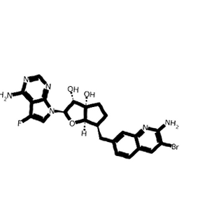 Nc1nc2cc(C[C@@H]3CC[C@@]4(O)[C@@H]3O[C@@H](n3cc(F)c5c(N)ncnc53)[C@@H]4O)ccc2cc1Br